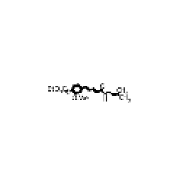 CCOC(=O)Oc1ccc(C=CC=CC(=O)NCC=C(C)C)cc1OC